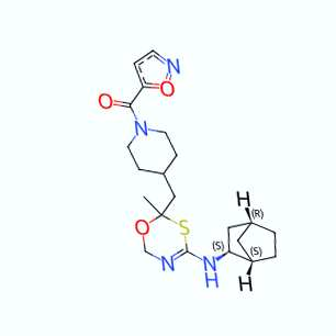 CC1(CC2CCN(C(=O)c3ccno3)CC2)OCN=C(N[C@H]2C[C@@H]3CC[C@H]2C3)S1